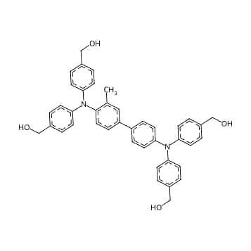 Cc1cc(-c2ccc(N(c3ccc(CO)cc3)c3ccc(CO)cc3)cc2)ccc1N(c1ccc(CO)cc1)c1ccc(CO)cc1